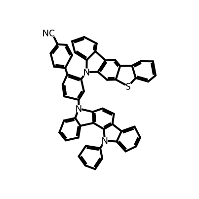 N#Cc1ccc(-c2ccc(-n3c4ccccc4c4c3ccc3c5ccccc5n(-c5ccccc5)c34)cc2-n2c3ccccc3c3cc4c(cc32)sc2ccccc24)cc1